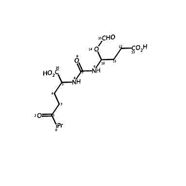 CC(C)C(=O)CCC(NC(=O)NC(CCC(=O)O)OC=O)C(=O)O